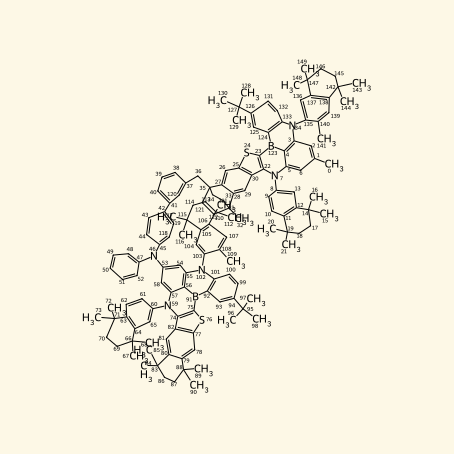 Cc1cc2c3c(c1)N(c1ccc4c(c1)C(C)(C)CCC4(C)C)c1c(sc4cc5c(cc14)C1(C)CCC5(Cc4cccc(-c5ccc(N(c6ccccc6)c6cc7c8c(c6)N(c6ccc9c(c6)C(C)(C)CCC9(C)C)c6c(sc9cc%10c(cc69)C(C)(C)CCC%10(C)C)B8c6cc(C(C)(C)C)ccc6N7c6cc7c(cc6C)C(C)(C)CCC7(C)C)cc5)c4)CC1)B3c1cc(C(C)(C)C)ccc1N2c1cc2c(cc1C)C(C)(C)CCC2(C)C